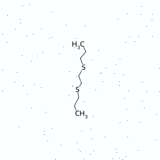 CCCSCCSCCC